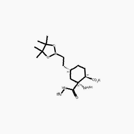 CC(=O)N[C@]1(C(=O)NC(C)(C)C)C[C@H](CCB2OC(C)(C)C(C)(C)O2)CC[C@H]1C(=O)O